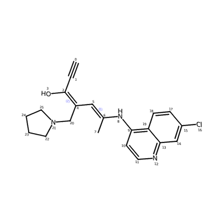 C#C/C(O)=C(\C=C(/C)Nc1ccnc2cc(Cl)ccc12)CN1CCCC1